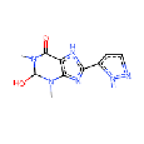 CN1C(=O)c2[nH]c(-c3ccn[nH]3)nc2N(C)C1O